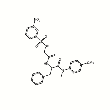 COc1ccc(N(C)C(=O)C(Cc2ccccc2)NC(=O)CNS(=O)(=O)c2cccc([N+](=O)[O-])c2)cc1